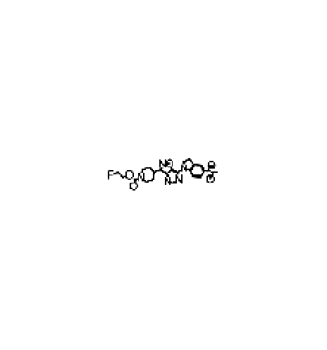 CS(=O)(=O)c1ccc2c(c1)CCN2c1ncnc2c(C3CCN(C(=O)OCCF)CC3)noc12